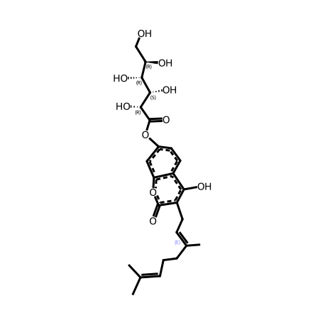 CC(C)=CCC/C(C)=C/Cc1c(O)c2ccc(OC(=O)[C@H](O)[C@@H](O)[C@H](O)[C@H](O)CO)cc2oc1=O